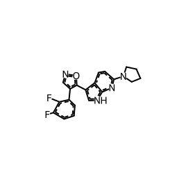 Fc1cccc(-c2cnoc2-c2c[nH]c3nc(N4CCCC4)ccc23)c1F